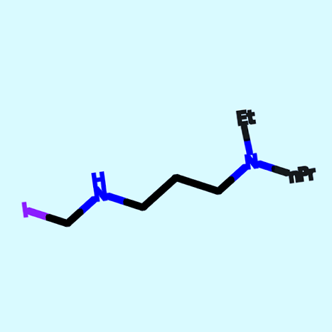 CCCN(CC)CCCNCI